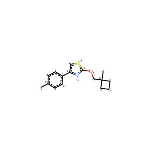 Cc1ccc(-c2csc(OCC3(C)CCC3)n2)cc1